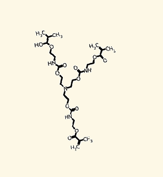 C=C(C)C(=O)OCCNC(=O)OCCN(CCOC(=O)NCCOC(=O)C(=C)C)CCOC(=O)NCCOC(O)C(C)C